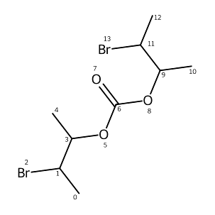 CC(Br)C(C)OC(=O)OC(C)C(C)Br